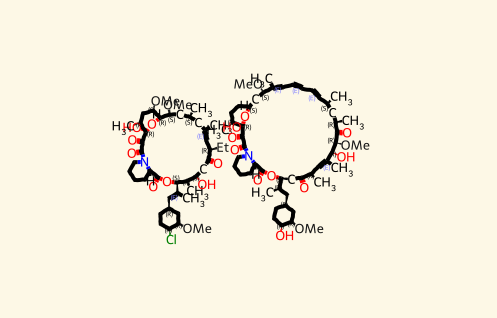 CC[C@@H]1/C=C(\C)C[C@H](C)C[C@H](OC)[C@H]2O[C@@](O)(C(=O)C(=O)N3CCCC[C@H]3C(=O)O[C@H](/C(C)=C/[C@@H]3CC[C@@H](Cl)[C@H](OC)C3)[C@H](C)[C@@H](O)CC1=O)[C@H](C)C[C@@H]2OC.CO[C@H]1C[C@@H]2CC[C@@H](C)[C@@](O)(O2)C(=O)C(=O)N2CCCC[C@H]2C(=O)O[C@H]([C@H](C)C[C@@H]2CC[C@@H](O)[C@H](OC)C2)CC(=O)[C@H](C)/C=C(\C)[C@@H](O)[C@@H](OC)C(=O)[C@H](C)C[C@H](C)/C=C/C=C/C=C/1C